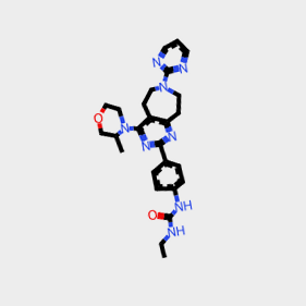 CCNC(=O)Nc1ccc(-c2nc3c(c(N4CCOCC4C)n2)CCN(c2ncccn2)CC3)cc1